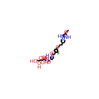 CCOC1CNC(N2CCC(CCCOc3ccc(CC(=O)N4CC[C@H](C(=O)NC[C@H](O)[C@@H](O)[C@H](O)[C@H](O)CO)C4)c(F)c3)CC2)NC1